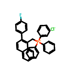 Fc1ccc(-c2ccc3ccccc3c2C[P+](c2ccccc2)(c2ccccc2)c2ccccc2)cc1.[Cl-]